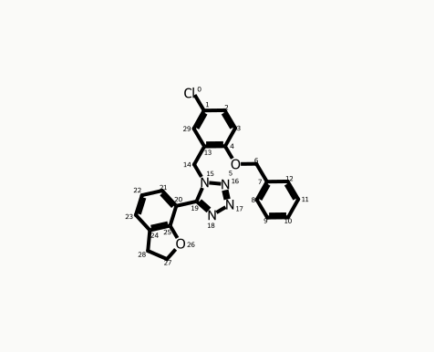 Clc1ccc(OCc2ccccc2)c(Cn2nnnc2-c2cccc3c2OCC3)c1